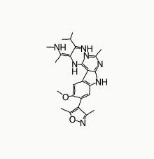 CN/C(C)=C(/Nc1nc(C)nc2[nH]c3cc(-c4c(C)noc4C)c(OC)cc3c12)C(=N)C(C)C